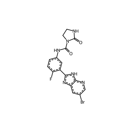 O=C1NCCN1C(=O)Nc1ccc(F)c(-c2nc3cc(Br)cnc3[nH]2)c1